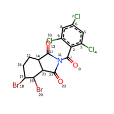 O=C(c1c(Cl)cc(Cl)cc1Cl)N1C(=O)C2CCC(Br)C(Br)C2C1=O